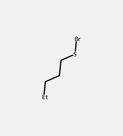 CCCCCSBr